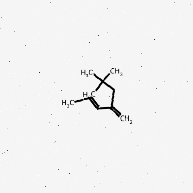 C=C(C=CC)CC(C)(C)C